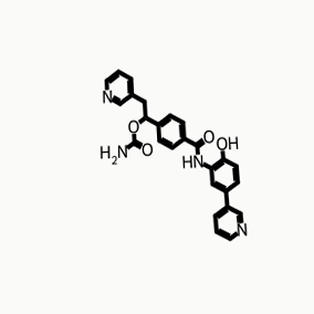 NC(=O)OC(Cc1cccnc1)c1ccc(C(=O)Nc2cc(-c3cccnc3)ccc2O)cc1